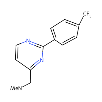 CNCc1ccnc(-c2ccc(C(F)(F)F)cc2)n1